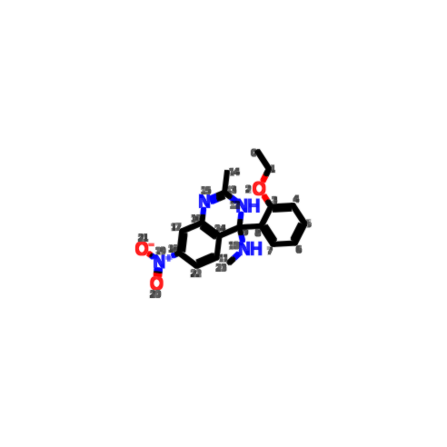 CCOc1ccccc1C1(NC)NC(C)=Nc2cc([N+](=O)[O-])ccc21